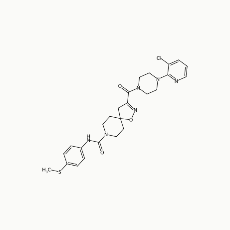 CSc1ccc(NC(=O)N2CCC3(CC2)CC(C(=O)N2CCN(c4ncccc4Cl)CC2)=NO3)cc1